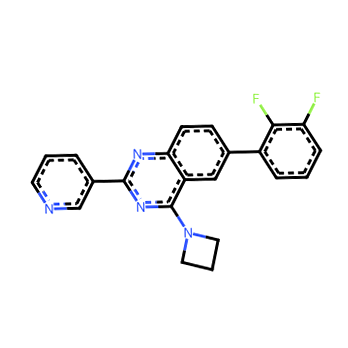 Fc1cccc(-c2ccc3nc(-c4cccnc4)nc(N4CCC4)c3c2)c1F